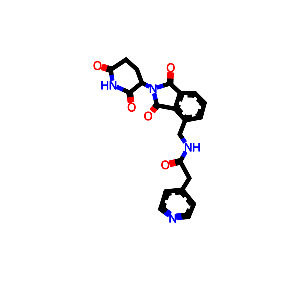 O=C(Cc1ccncc1)NCc1cccc2c1C(=O)N(C1CCC(=O)NC1=O)C2=O